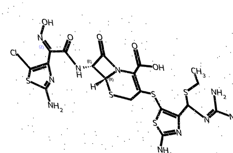 CCSC(N=C(N)N)c1nc(N)sc1SC1=C(C(=O)O)N2C(=O)[C@@H](NC(=O)/C(=N\O)c3nc(N)sc3Cl)[C@H]2SC1